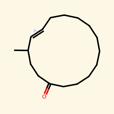 CC1/C=C/CCCCCCCCCCC(=O)CC1